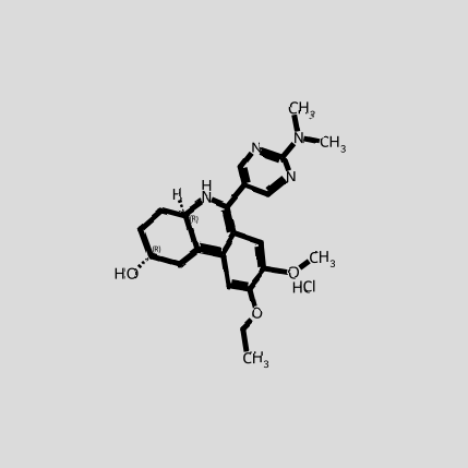 CCOc1cc2c(cc1OC)=C(c1cnc(N(C)C)nc1)N[C@@H]1CC[C@@H](O)CC=21.Cl